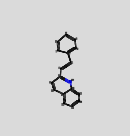 [C](=Cc1ccccc1)c1ccc2ccccc2n1